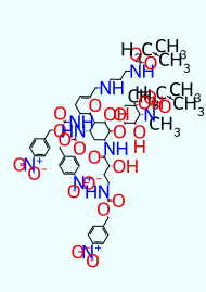 CN(C(=O)OC(C)(C)C)[C@@H]1[C@@H](O)[C@@H](O[C@@H]2[C@@H](O)[C@H](C3OC(CNCCCNC(=O)OC(C)(C)C)=CC[C@H]3NC(=O)OCc3ccc([N+](=O)[O-])cc3)[C@@H](NC(=O)OCc3ccc([N+](=O)[O-])cc3)C[C@H]2NC(=O)[C@H](O)CCNC(=O)OCc2ccc([N+](=O)[O-])cc2)OC[C@]1(C)O